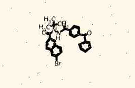 CC(C)(C)N(NC(=O)c1ccc(C(=O)c2ccccc2)cc1)C(=O)c1ccc2cc(Br)ccc2c1